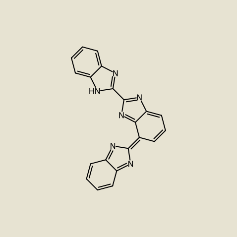 c1ccc2c(c1)=NC(=c1cccc3c1=NC(c1nc4ccccc4[nH]1)=N3)N=2